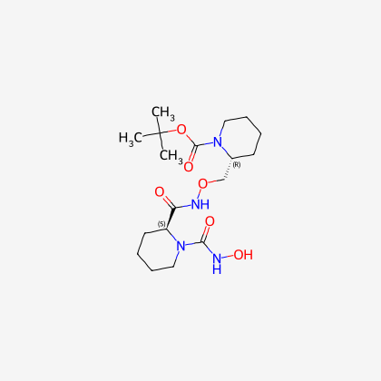 CC(C)(C)OC(=O)N1CCCC[C@@H]1CONC(=O)[C@@H]1CCCCN1C(=O)NO